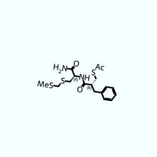 CSCSC[C@H](NC(=O)[C@H](CSC(C)=O)Cc1ccccc1)C(N)=O